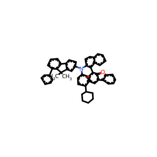 CC1(C)c2cc(N(c3ccc(C4CCCCC4)cc3)c3ccc4ccccc4c3-c3cccc4c3oc3ccccc34)ccc2-c2cccc(-c3ccccc3)c21